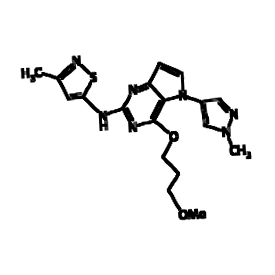 COCCCOc1nc(Nc2cc(C)ns2)nc2ccn(-c3cnn(C)c3)c12